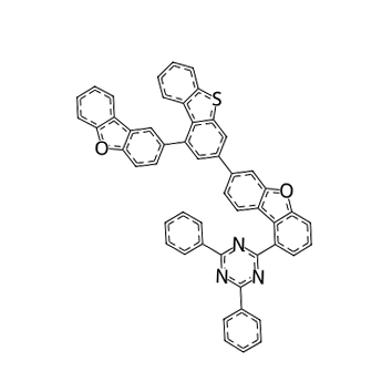 c1ccc(-c2nc(-c3ccccc3)nc(-c3cccc4oc5cc(-c6cc(-c7ccc8oc9ccccc9c8c7)c7c(c6)sc6ccccc67)ccc5c34)n2)cc1